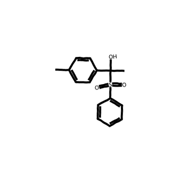 Cc1ccc(C(C)(O)S(=O)(=O)c2ccccc2)cc1